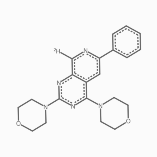 [2H]c1nc(-c2ccccc2)cc2c(N3CCOCC3)nc(N3CCOCC3)nc12